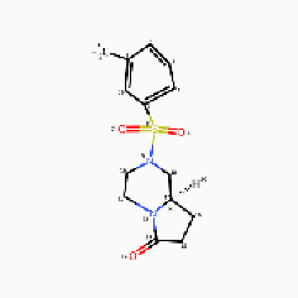 Cc1cccc(S(=O)(=O)N2CCN3C(=O)CC[C@@H]3C2)c1